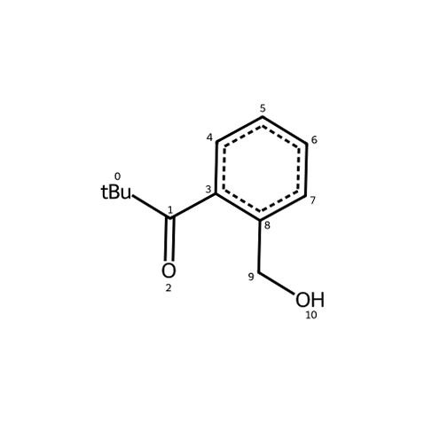 CC(C)(C)C(=O)c1ccccc1CO